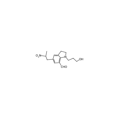 CC(Cc1cc(C=O)c2c(c1)CCN2CCCO)[N+](=O)[O-]